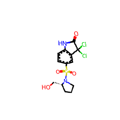 O=C1Nc2ccc(S(=O)(=O)N3CCC[C@@H]3CO)cc2C1(Cl)Cl